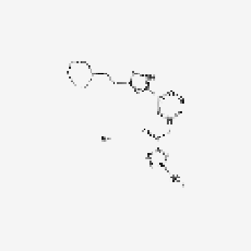 O=C(C[n+]1cccc(-c2cc(CCC3CCCCC3)n[nH]2)c1)c1cc([N+](=O)[O-])cs1.[Br-]